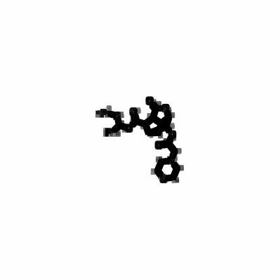 CCCOC(OC(=O)C1C2CC3C(OC(=O)C31)C2OC(=O)CN1CCOCC1)C(C)C